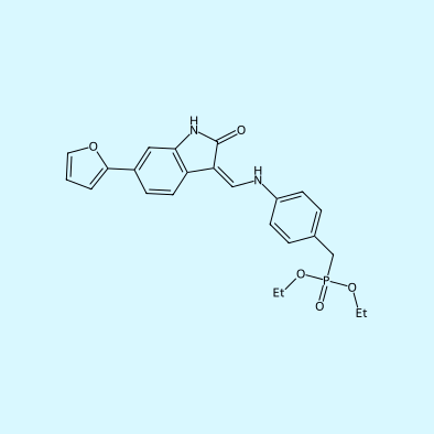 CCOP(=O)(Cc1ccc(N/C=C2\C(=O)Nc3cc(-c4ccco4)ccc32)cc1)OCC